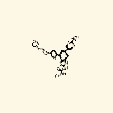 CCNC(=O)Nc1nc2cc(-c3cnc(C(C)(C)O)nc3)cc(-c3ccc(OCCN4CCOCC4)cn3)c2s1